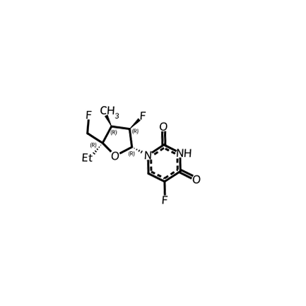 CC[C@@]1(CF)O[C@@H](n2cc(F)c(=O)[nH]c2=O)[C@H](F)[C@@H]1C